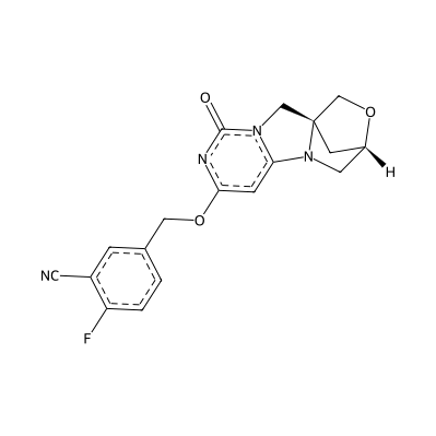 N#Cc1cc(COc2cc3n(c(=O)n2)C[C@]24CO[C@H](CN32)C4)ccc1F